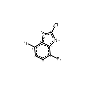 Fc1ccc(F)c2sc(Cl)nc12